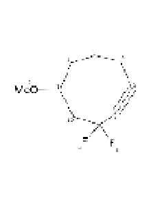 COC1CCCC#CC(F)(F)C1